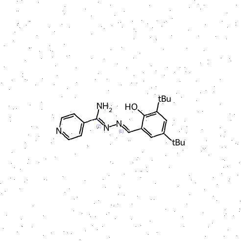 CC(C)(C)c1cc(/C=N/N=C(\N)c2ccncc2)c(O)c(C(C)(C)C)c1